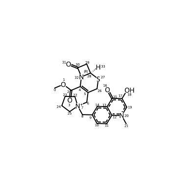 COC(=O)C1=C(C[N+]2(Cc3ccc4c(c3)c(=O)c(O)cn4C)CCCC2)CS[C@@H]2CC(=O)N12